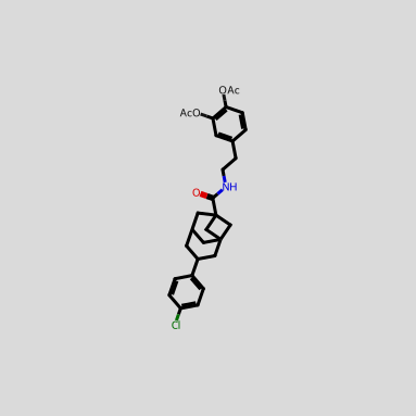 CC(=O)Oc1ccc(CCNC(=O)C23CC4CC(c5ccc(Cl)cc5)CC(C4)(C2)C3)cc1OC(C)=O